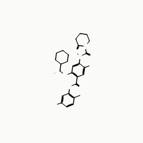 Cc1ccc(C(F)(F)F)cc1NC(=O)c1cc(F)c(-n2nc3n(c2=O)CCCC3)cc1O[C@@H](C)C1CCCCC1